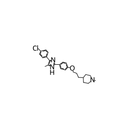 Cc1[nH]c(-c2ccc(OCCCC3CCN(C)CC3)cc2)nc1-c1ccc(Cl)cc1